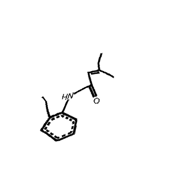 CC(C)=CC(=O)Nc1ccccc1C